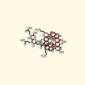 CC(C)C[C@H](NC(=O)[C@H](CO)NC(=O)[C@@H](NC(=O)[C@@H](NC(=O)[C@@H](NC(=O)[C@@H](NC(=O)[C@H](CC(=O)O)NC(=O)CNC(=O)[C@@H](NC(=O)[C@H](CCCCN)NC(=O)[C@H](CO)NC(=O)[C@@H](N)CCCCN)C(C)C)C(C)C)C(C)C)[C@@H](C)O)C(C)C)C(=O)N1CCC[C@H]1C(=O)NCC(=O)NCC(=O)N[C@@H](CCC(=O)O)C(=O)N[C@@H](CCC(=O)O)C(=O)O